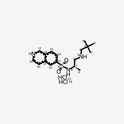 C[C@H](CNCC(C)(C)C)NS(=O)(=O)c1ccc2cnccc2c1.Cl.Cl